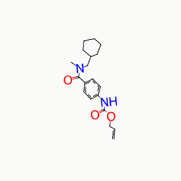 C=CCOC(=O)Nc1ccc(C(=O)N(C)CC2CCCCC2)cc1